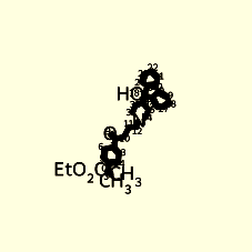 CCOC(=O)C(C)(C)c1ccc(C(=O)CCCN2CCC(C(O)(c3ccccc3)c3ccccc3)CC2)cc1